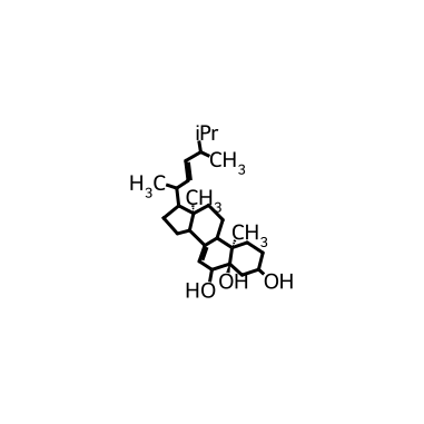 CC(C)C(C)/C=C/C(C)C1CCC2C3=CC(O)[C@@]4(O)CC(O)CC[C@]4(C)C3CC[C@@]21C